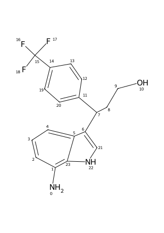 Nc1cccc2c(C(CCO)c3ccc(C(F)(F)F)cc3)c[nH]c12